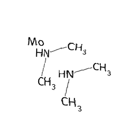 CNC.CNC.[Mo]